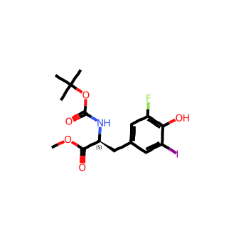 COC(=O)[C@H](Cc1cc(F)c(O)c(I)c1)NC(=O)OC(C)(C)C